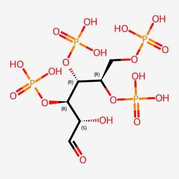 O=C[C@@H](O)[C@@H](OP(=O)(O)O)[C@H](OP(=O)(O)O)[C@@H](COP(=O)(O)O)OP(=O)(O)O